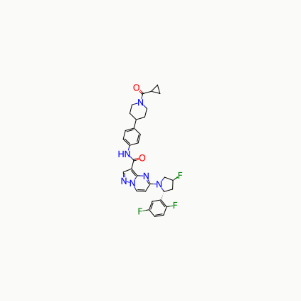 O=C(Nc1ccc(C2CCN(C(=O)C3CC3)CC2)cc1)c1cnn2ccc(N3C[C@@H](F)C[C@@H]3c3cc(F)ccc3F)nc12